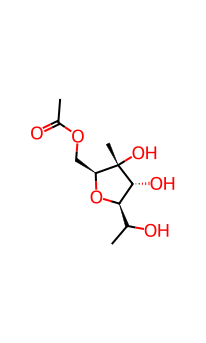 CC(=O)OC[C@@H]1O[C@H](C(C)O)[C@@H](O)[C@@]1(C)O